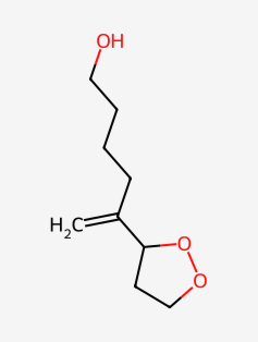 C=C(CCCCO)C1CCOO1